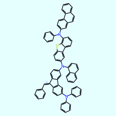 C(=C1/c2ccc(N(c3ccccc3)c3ccccc3)cc2-c2cc(N(c3ccc4sc5c(N(c6ccccc6)c6ccc7c(ccc8ccccc87)c6)cccc5c4c3)c3cccc4ccccc34)ccc21)/c1ccccc1